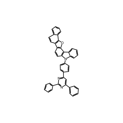 c1ccc(-c2cc(-c3ccc(-n4c5ccccc5c5c6oc7c8ccccc8ccc7c6ccc54)cc3)nc(-c3ccccc3)n2)cc1